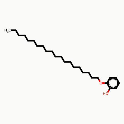 CCCCCCCCCCCCCCCCCCCCOc1ccccc1O